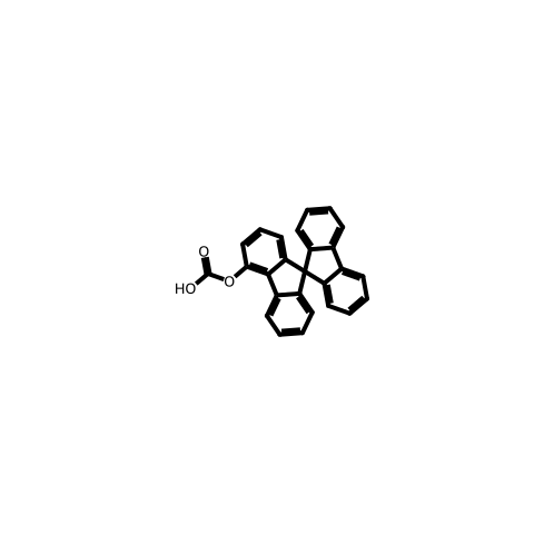 O=C(O)Oc1cccc2c1-c1ccccc1C21c2ccccc2-c2ccccc21